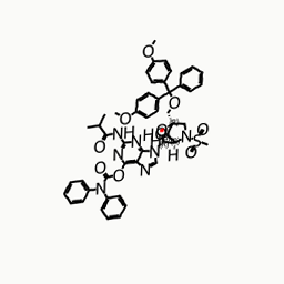 COc1ccc(C(OC[C@@]23CN(S(C)(=O)=O)[C@@H]([C@H](n4cnc5c(OC(=O)N(c6ccccc6)c6ccccc6)nc(NC(=O)C(C)C)nc54)O2)[C@@H]3O)(c2ccccc2)c2ccc(OC)cc2)cc1